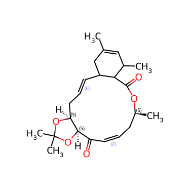 CC1=CC(C)C2C(=O)O[C@@H](C)C/C=C\C(=O)[C@H]3OC(C)(C)O[C@H]3C/C=C/C2C1